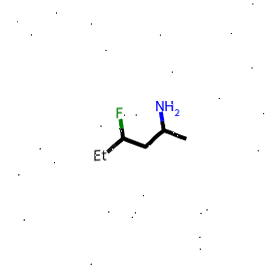 CCC(F)CC(C)N